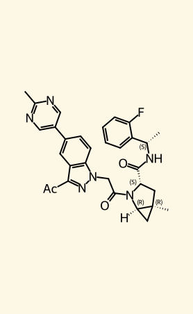 CC(=O)c1nn(CC(=O)N2[C@H](C(=O)N[C@@H](C)c3ccccc3F)C[C@@]3(C)C[C@@H]23)c2ccc(-c3cnc(C)nc3)cc12